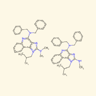 CC(C)Cn1c(N(C)C)nc2c(N(Cc3ccccc3)Cc3ccccc3)nc3ccccc3c21.CNc1nc2c(N(Cc3ccccc3)Cc3ccccc3)nc3ccccc3c2n1CC(C)C